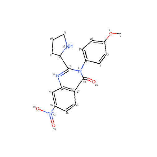 COc1ccc(-n2c(C3CCCN3)nc3cc([N+](=O)[O-])ccc3c2=O)cc1